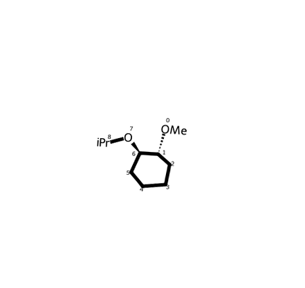 CO[C@@H]1CCCC[C@H]1OC(C)C